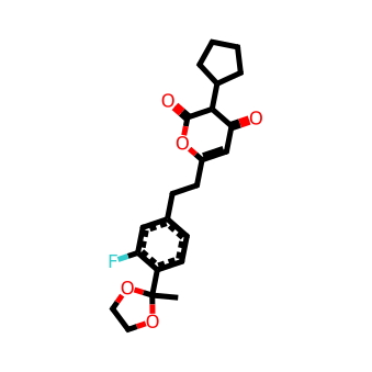 CC1(c2ccc(CCC3=CC(=O)C(C4CCCC4)C(=O)O3)cc2F)OCCO1